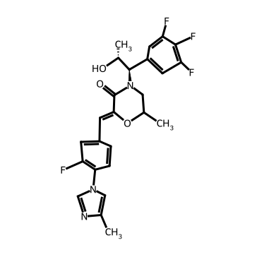 Cc1cn(-c2ccc(C=C3OC(C)CN([C@H](c4cc(F)c(F)c(F)c4)[C@@H](C)O)C3=O)cc2F)cn1